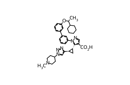 C[C@H](Oc1cccc(-c2cccc(-n3ncc(C(=O)O)c3[C@@H]3C[C@H]3c3cn(C4CCN(C)CC4)nn3)c2)c1)C1CCCCC1